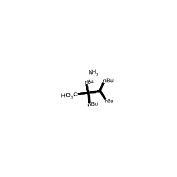 CCCCC(CCCC)C(CCCC)(CCCC)C(=O)O.N